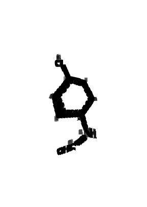 O=CNc1ccc(Cl)cc1